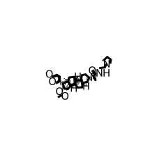 CC(=O)O[C@H]1C[C@]2(O)[C@@H]3CC[C@@H]4C[C@@H](N(C)C(=O)NCCN5CCCC5)CC[C@]4(C)[C@H]3CC[C@]2(C)[C@H]1c1ccc(=O)oc1